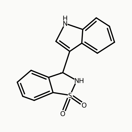 O=S1(=O)N[C](c2c[nH]c3ccccc23)c2ccccc21